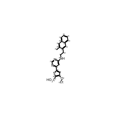 CCOc1cc(-c2cc(NCCc3cc4ccccc4cc3C)ncn2)sc1C(=O)O